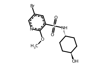 COc1ncc(Br)cc1S(=O)(=O)N[C@H]1CC[C@H](O)CC1